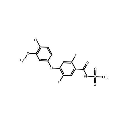 CS(=O)(=O)NC(=O)c1cc(F)c(Oc2ccc(Cl)c(OC(F)(F)F)c2)cc1F